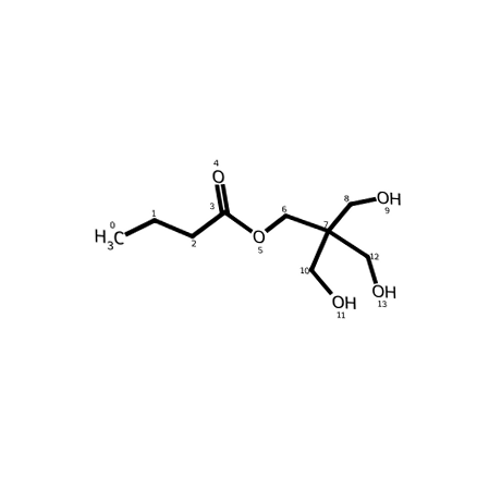 CCCC(=O)OCC(CO)(CO)CO